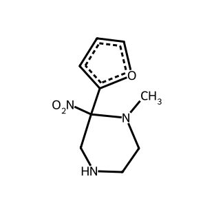 CN1CCNCC1(c1ccco1)[N+](=O)[O-]